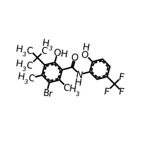 Cc1c(Br)c(C)c(C(C)(C)C)c(O)c1C(=O)Nc1cc(C(F)(F)F)ccc1O